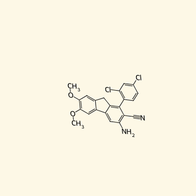 COc1cc2c(cc1OC)-c1cc(N)c(C#N)c(-c3ccc(Cl)cc3Cl)c1C2